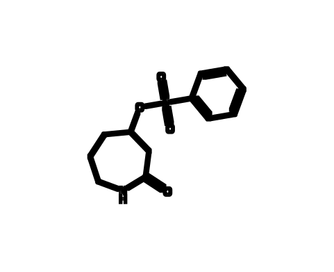 O=C1CC(OS(=O)(=O)c2ccccc2)CCCN1